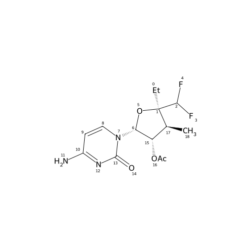 CC[C@@]1(C(F)F)O[C@@H](n2ccc(N)nc2=O)[C@@H](OC(C)=O)[C@@H]1C